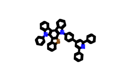 c1ccc(-c2cc(-c3ccc(-n4c5ccccc5c5c6c7ccccc7n(-c7ccccc7)c6c6c7ccccc7sc6c54)cc3)cc(-c3ccccc3)n2)cc1